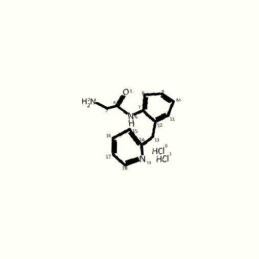 Cl.Cl.NCC(=O)Nc1ccccc1Cc1ccccn1